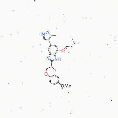 COc1ccc2c(c1)CC(c1nc3cc(-c4c[nH]nc4C)cc(OCCN(C)C)c3[nH]1)CO2